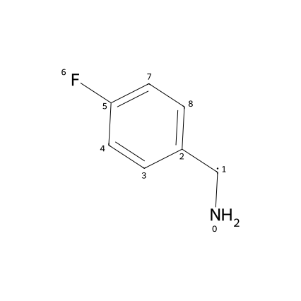 N[CH]c1ccc(F)cc1